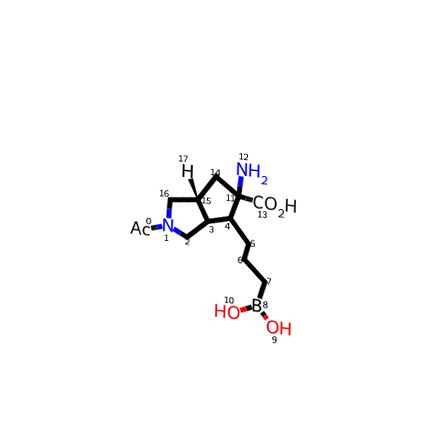 CC(=O)N1CC2C(CCCB(O)O)C(N)(C(=O)O)C[C@H]2C1